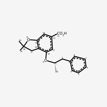 C[C@@H](Cc1ccccc1)Oc1cc(C(=O)O)cc2c1CC(C)(C)O2